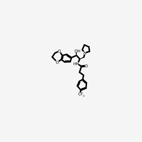 O=C(CCc1ccc(C(F)(F)F)cc1)N[C@H](CN1CCCC1)[C@H](O)c1ccc2c(c1)OCCO2